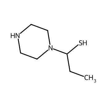 CCC(S)N1CCNCC1